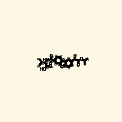 CC(C)OC(=O)Nc1ccc2oc3cc(S(=O)(=O)N[C@H](C(=O)O)C(C)C)ccc3c2c1